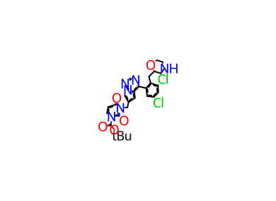 CC(C)(C)OC(=O)n1ccc(=O)n(Cc2cc3c(-c4cc(Cl)cc(Cl)c4CC4CNCCO4)ncnn3c2)c1=O